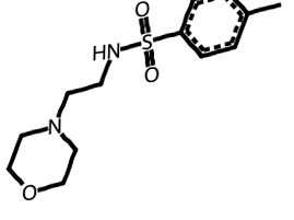 Cc1ccc(S(=O)(=O)NCCN2CCOCC2)cc1